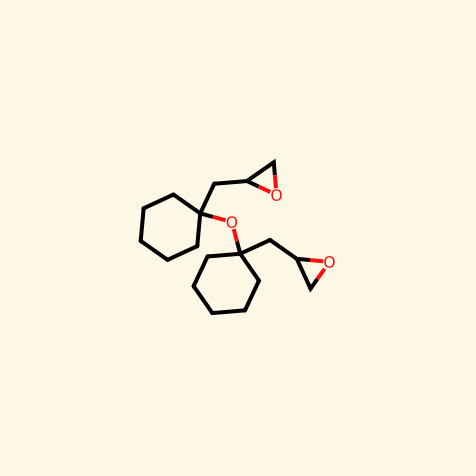 C1CCC(CC2CO2)(OC2(CC3CO3)CCCCC2)CC1